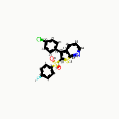 O=S(=O)(c1ccc(F)cc1)c1sc2ncccc2c1-c1ccc(Cl)cc1